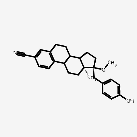 CO[C@@]1(Cc2ccc(O)cc2)CCC2C3CCc4cc(C#N)ccc4C3CC[C@@]21C